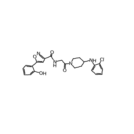 O=C(NCC(=O)N1CCC(Nc2ccccc2Cl)CC1)c1cc(-c2ccccc2O)on1